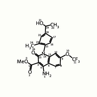 COC(=O)c1c(N)c2ccc(OC(F)(F)F)cc2n(-c2ccc(C(C)O)cc2C)c1=O